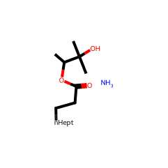 CCCCCCCCCC(=O)OC(C)C(C)(C)O.N